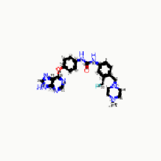 CCN1CCN(Cc2ccc(NC(=O)Nc3ccc(Oc4ncnc5[nH]cnc45)cc3)cc2CF)CC1